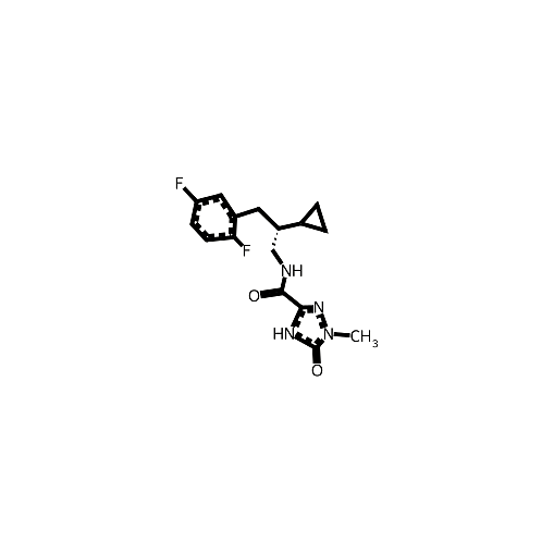 Cn1nc(C(=O)NC[C@H](Cc2cc(F)ccc2F)C2CC2)[nH]c1=O